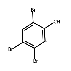 Cc1[c]c(Br)c(Br)cc1Br